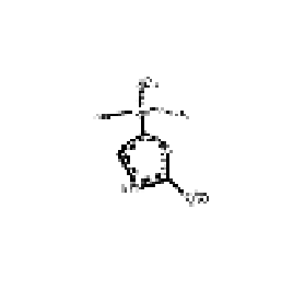 CCC[CH2][Sn]([CH2]CCC)([CH2]CCC)[c]1c[nH]c(C=O)n1